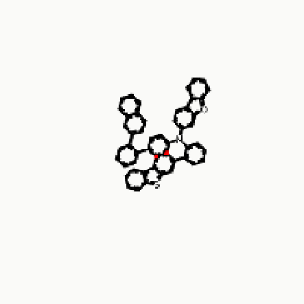 c1ccc(-c2ccc3ccccc3c2)c(-c2ccc(N(c3ccc4c(c3)oc3ccccc34)c3ccccc3-c3ccc4c(c3)sc3ccccc34)cc2)c1